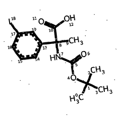 CC(C)(C)OC(=O)NC(C)(C(=O)O)c1cccc(I)c1